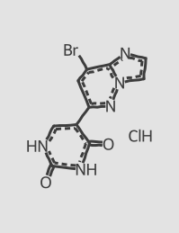 Cl.O=c1[nH]cc(-c2cc(Br)c3nccn3n2)c(=O)[nH]1